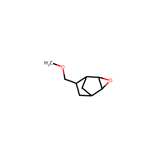 COCC1CC2CC1C1OC21